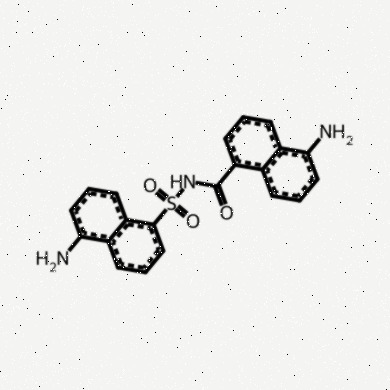 Nc1cccc2c(C(=O)NS(=O)(=O)c3cccc4c(N)cccc34)cccc12